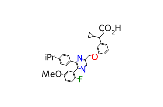 COc1ccc(F)c(-c2ncc(COc3cccc(C(CC(=O)O)C4CC4)c3)nc2-c2ccc(C(C)C)cc2)c1